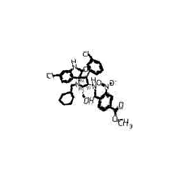 COC(=O)c1ccc(CN[C@@H]2[C@H](CO)N(CC3CCCCC3)[C@@]3(C(=O)Nc4cc(Cl)ccc43)[C@H]2c2cccc(Cl)c2)c([N+](=O)[O-])c1